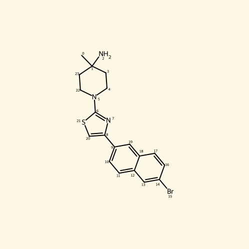 CC1(N)CCN(c2nc(-c3ccc4cc(Br)ccc4c3)cs2)CC1